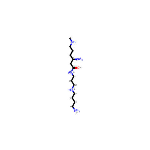 CNCCCC(N)CC(=O)NCCCNCCCCN